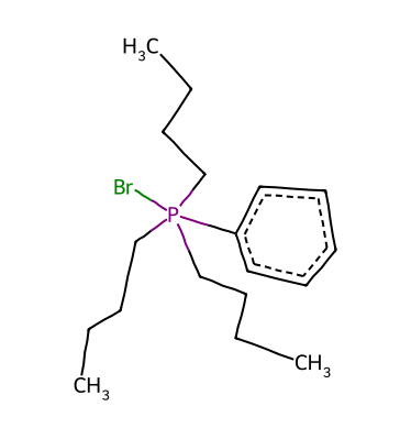 CCCCP(Br)(CCCC)(CCCC)c1ccccc1